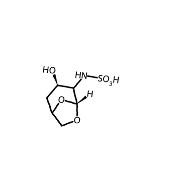 O=S(=O)(O)NC1[C@@H]2OCC(C[C@H]1O)O2